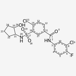 O=C(Nc1ccc(F)c(Cl)c1)c1ccc(Cl)c(S(=O)(=O)NC2CCCC2O)c1